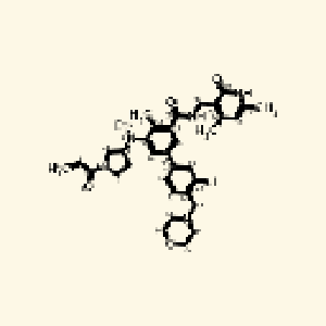 C=CC(=O)N1CCC(N(CC)c2cc(-c3ccc(CN4CCOCC4)c(Cl)c3)cc(C(=O)NCc3c(C)cc(C)[nH]c3=O)c2C)C1